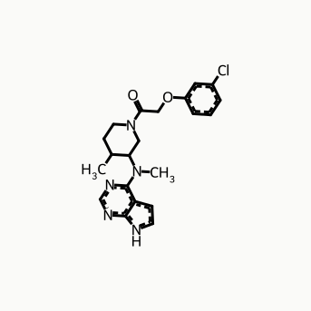 CC1CCN(C(=O)COc2cccc(Cl)c2)CC1N(C)c1ncnc2[nH]ccc12